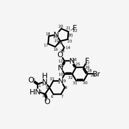 O=C1NC(=O)C2(CCCN(c3nc(OC[C@@]45CCCN4C[C@H](F)C5)nc4c(F)c(Br)ccc34)C2)N1